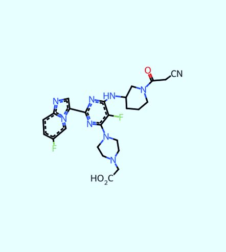 N#CCC(=O)N1CCCC(Nc2nc(-c3cnc4ccc(F)cn34)nc(N3CCN(CC(=O)O)CC3)c2F)C1